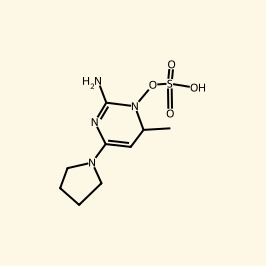 CC1C=C(N2CCCC2)N=C(N)N1OS(=O)(=O)O